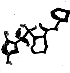 Cn1cc(S(=O)(=O)C(C)(F)C2CCCCN2C(=O)Nc2ccon2)c(C(F)(F)F)n1